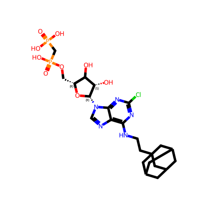 O=P(O)(O)CP(=O)(O)OC[C@H]1O[C@@H](n2cnc3c(NCCC45CC6CC(CC(C6)C4)C5)nc(Cl)nc32)[C@@H](O)C1O